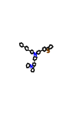 c1ccc(-c2ccc(-c3ccc(N(c4ccc(-c5ccc6c(c5)sc5ccccc56)cc4)c4ccc(-c5ccc6c7ccccc7n(-c7ccccc7)c6c5)cc4)cc3)cc2)cc1